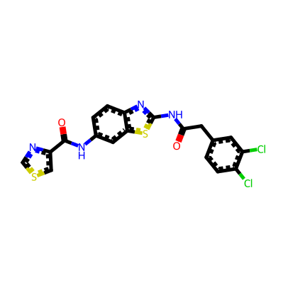 O=C(Cc1ccc(Cl)c(Cl)c1)Nc1nc2ccc(NC(=O)c3cscn3)cc2s1